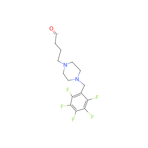 O=[C]CCCN1CCN(Cc2c(F)c(F)c(F)c(F)c2F)CC1